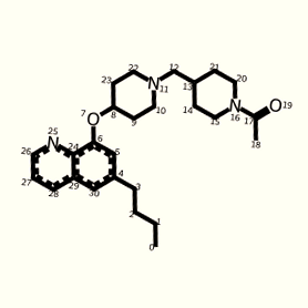 CCCCc1cc(OC2CCN(CC3CCN(C(C)=O)CC3)CC2)c2ncccc2c1